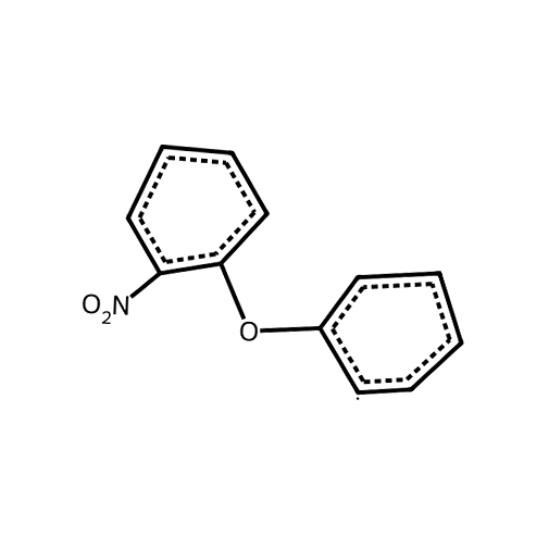 O=[N+]([O-])c1ccccc1Oc1[c]cccc1